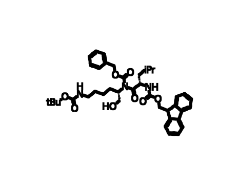 CC(C)C[C@H](NC(=O)OCC1c2ccccc2-c2ccccc21)C(=O)N(C(=O)OCc1ccccc1)[C@H](CO)CCCCNC(=O)OC(C)(C)C